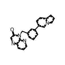 O=c1cnc2cccnc2n1Cc1cccc(-c2ccc3cccn3c2)c1